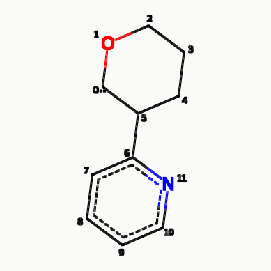 [C]1OCCCC1c1ccccn1